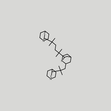 CC(C)(CC1CC2CCN1C(C(C)(C)CCC(C)(C)C1CC3CCN1CC3)C2)C1CN2CCC1CC2